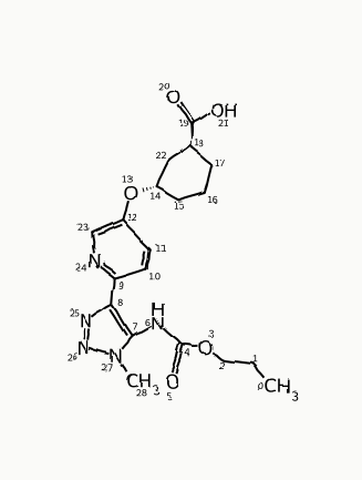 CCCOC(=O)Nc1c(-c2ccc(O[C@H]3CCC[C@H](C(=O)O)C3)cn2)nnn1C